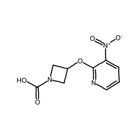 O=C(O)N1CC(Oc2ncccc2[N+](=O)[O-])C1